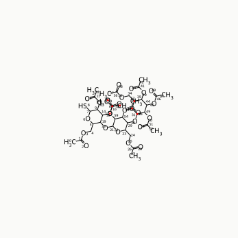 CC(=O)OCC1OC(S)C(OC(C)=O)C(OC(C)=O)C1OC1OC(COC(C)=O)C(OC2OC(COC(C)=O)C(OC(C)=O)C(OC(C)=O)C2OC(C)=O)C(OC(C)=O)C1OC(C)=O